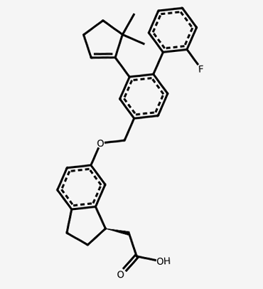 CC1(C)CCC=C1c1cc(COc2ccc3c(c2)[C@@H](CC(=O)O)CC3)ccc1-c1ccccc1F